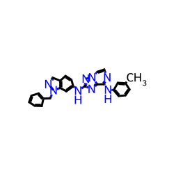 Cc1cccc(Nc2nccn3nc(Nc4ccc5cnn(Cc6ccccc6)c5c4)nc23)c1